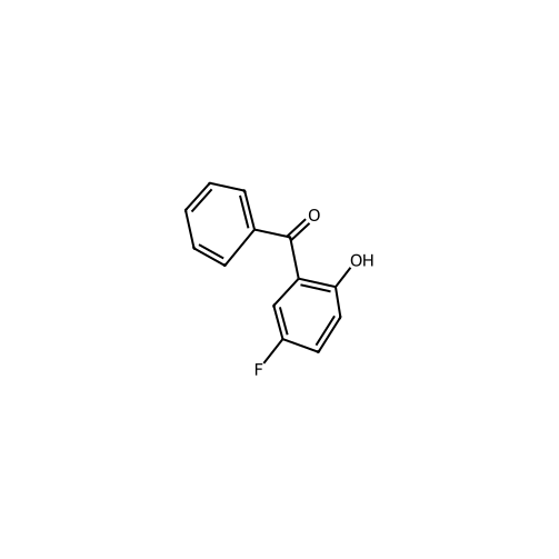 O=C(c1ccccc1)c1cc(F)ccc1O